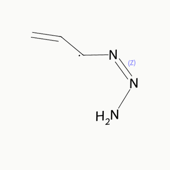 C=C[CH]/N=N\N